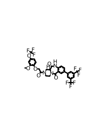 COc1cc(OC(F)(F)F)ccc1OCC(=O)N1CCN2C(=O)c3cc(-c4cc(C(F)(F)F)cc(C(F)(F)F)c4)ccc3NC(=O)[C@@H]2C1